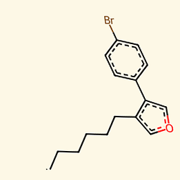 [CH2]CCCCCc1cocc1-c1ccc(Br)cc1